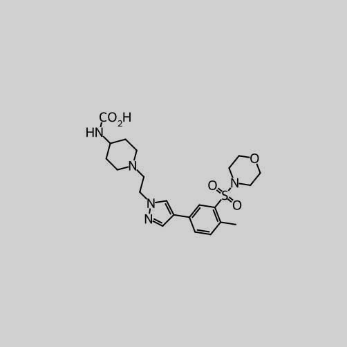 Cc1ccc(-c2cnn(CCN3CCC(NC(=O)O)CC3)c2)cc1S(=O)(=O)N1CCOCC1